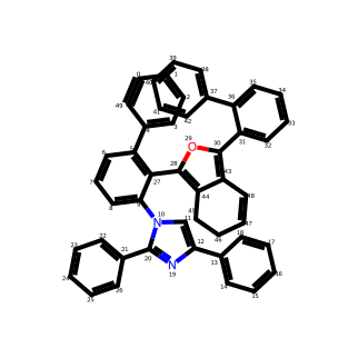 c1cccc(-c2cccc(-n3cc(-c4ccccc4)nc3-c3ccccc3)c2-c2oc(-c3ccccc3-c3ccccc3)c3c2CCC=C3)c#1